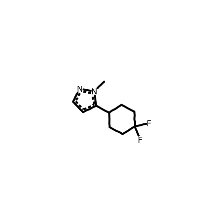 Cn1nccc1C1CCC(F)(F)CC1